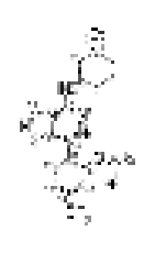 CCN1CCC[C@@H](Nc2nnc(-c3ccc(C(F)(F)F)cc3OC(F)F)c3cncn23)C1